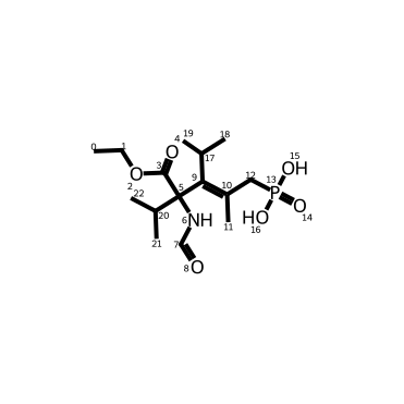 CCOC(=O)C(NC=O)(C(=C(C)CP(=O)(O)O)C(C)C)C(C)C